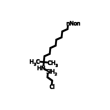 CCCCCCCCCCCCCCCCCC(C)(C)N[SiH2]CCCl